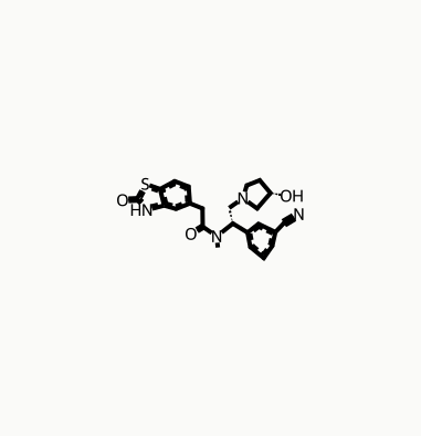 CN(C(=O)Cc1ccc2sc(=O)[nH]c2c1)[C@H](CN1CC[C@H](O)C1)c1cccc(C#N)c1